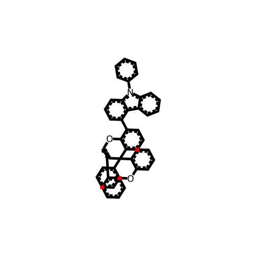 c1ccc(-c2cccc3c2C2(c4ccccc4Oc4ccccc42)c2cccc(-c4cccc5c4c4ccccc4n5-c4ccccc4)c2O3)cc1